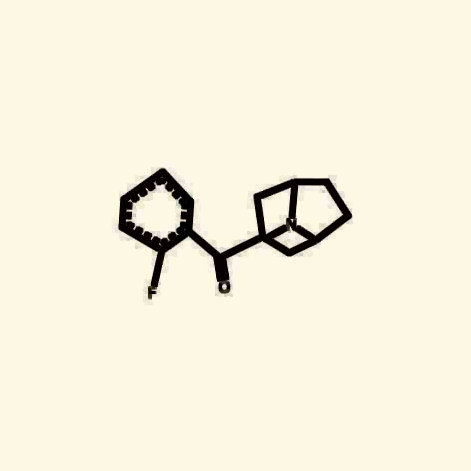 CN1C2CCC1CC(C(=O)c1ccccc1F)C2